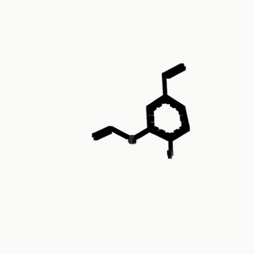 C=COc1cc(C=C)ccc1F